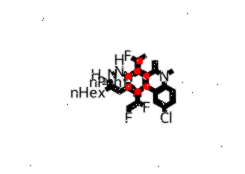 C=C(/C(CC(=C/C=C(\C)CCCCCC)/C(F)=C/F)=C(\C)C(CCCCC)NN)N(C)c1ccc(Cl)cc1-c1cc(C(C)F)ncn1